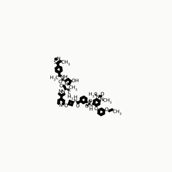 CCCOc1cccc(Oc2cc3c(cc2NS(=O)(=O)c2cccc(C(=O)N[C@H]4C[C@H](Oc5cc(-c6cnn([C@@H](C(=O)N7C[C@H](O)C[C@H]7C(=O)N[C@@H](C)c7ccc(-c8scnc8C)cc7)C(C)C)c6)ccn5)C4)c2)n(C)c(=O)n3C)c1